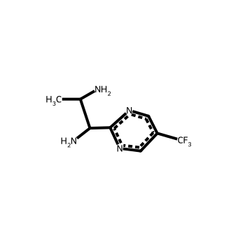 CC(N)C(N)c1ncc(C(F)(F)F)cn1